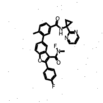 Cc1ccc(C(=O)NC2(c3ncccn3)CC2)cc1-c1ccc2oc(-c3ccc(F)cc3)c(C(=O)N(C)F)c2c1